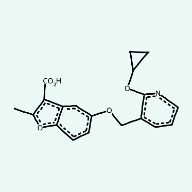 Cc1oc2ccc(OCc3cccnc3OC3CC3)cc2c1C(=O)O